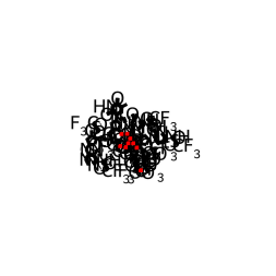 C=Nc1c(NS(=O)(=O)C(F)(F)F)ncnc1N(C)C1CC(OS(=O)(=O)C(F)(F)F)C(COP(=O)(OC2CC(n3cc(C)c(=O)[nH]c3=O)OC2COP(=O)(OC2CC(n3ccc(NS(=O)(=O)C(F)(F)F)nc3=O)OC2COP(=O)(OC2CC(N(C)c3nc(NS(=O)(=O)C(F)(F)F)[nH]c(=O)c3N=C)OC2COP(=O)(OS(=O)(=O)C(F)(F)F)OS(=O)(=O)C(F)(F)F)OS(=O)(=O)C(F)(F)F)OS(=O)(=O)C(F)(F)F)OS(=O)(=O)C(F)(F)F)O1